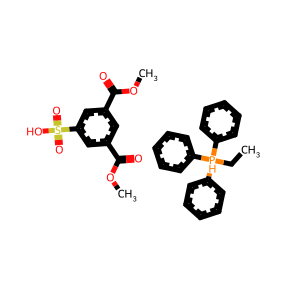 CC[PH](c1ccccc1)(c1ccccc1)c1ccccc1.COC(=O)c1cc(C(=O)OC)cc(S(=O)(=O)O)c1